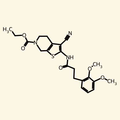 CCOC(=O)N1CCc2c(sc(NC(=O)CCc3cccc(OC)c3OC)c2C#N)C1